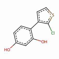 Oc1ccc(-c2ccsc2Cl)c(O)c1